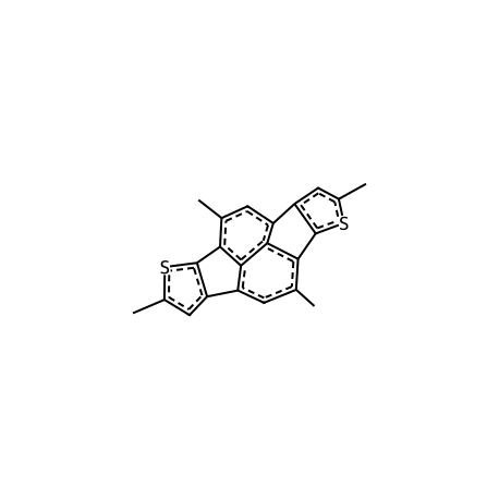 Cc1cc2c(s1)-c1c(C)cc3c4c(c(C)cc-2c14)-c1sc(C)cc1-3